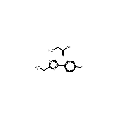 CCC(=O)O.CCc1nc(-c2ccc(Cl)cc2)co1